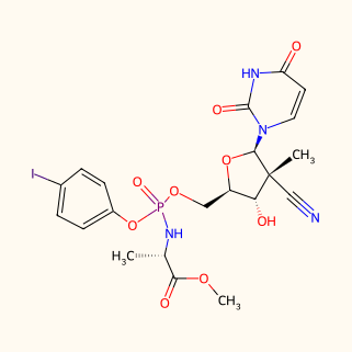 COC(=O)[C@H](C)NP(=O)(OC[C@H]1O[C@@H](n2ccc(=O)[nH]c2=O)[C@](C)(C#N)[C@@H]1O)Oc1ccc(I)cc1